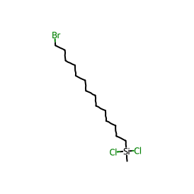 C[Si](Cl)(Cl)CCCCCCCCCCCCCCBr